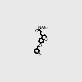 CNC(=O)CCC1CCOc2cc(OCc3cccc(F)c3)ccc21